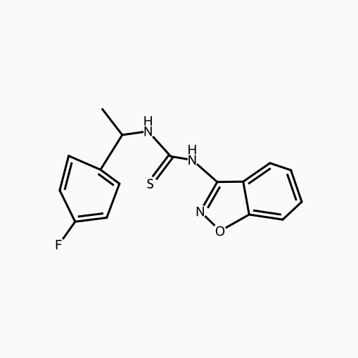 CC(NC(=S)Nc1noc2ccccc12)c1ccc(F)cc1